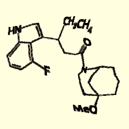 C.COC12CCCC(C1)N(C(=O)CC(C)c1c[nH]c3cccc(F)c13)CC2